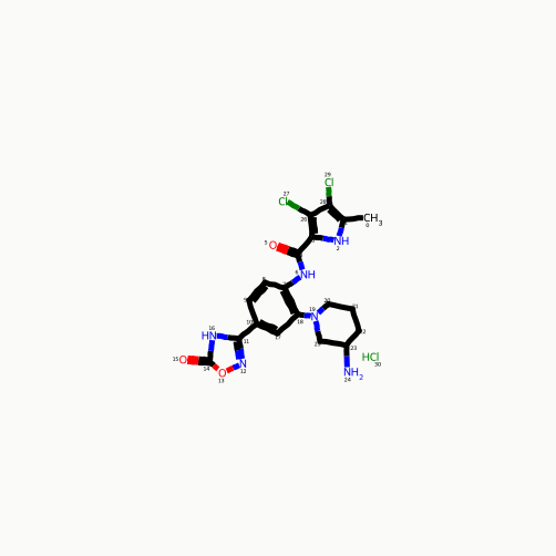 Cc1[nH]c(C(=O)Nc2ccc(-c3noc(=O)[nH]3)cc2N2CCCC(N)C2)c(Cl)c1Cl.Cl